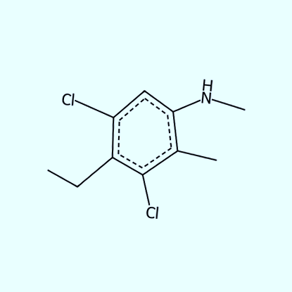 CCc1c(Cl)cc(NC)c(C)c1Cl